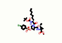 C=CCCCCC[C@H](NC(=O)OC(C)(C)C)C(=O)N1C[C@@H](OS(=O)(=O)c2ccc(Br)cc2)CC1C(=O)N[C@]1(C(=O)OC)C[C@H]1C=C